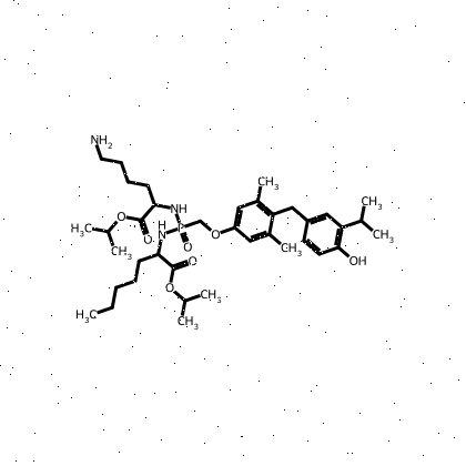 CCCCCC(NP(=O)(COc1cc(C)c(Cc2ccc(O)c(C(C)C)c2)c(C)c1)NC(CCCCN)C(=O)OC(C)C)C(=O)OC(C)C